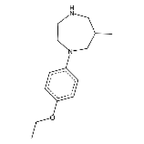 CCOc1ccc(N2CCNCC(C)C2)cc1